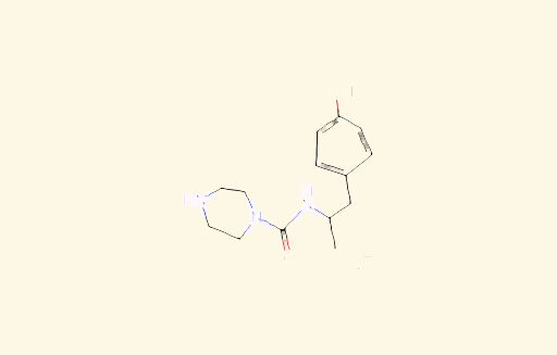 O=C(O)C(Cc1ccc(O)cc1)NC(=O)N1CCNCC1